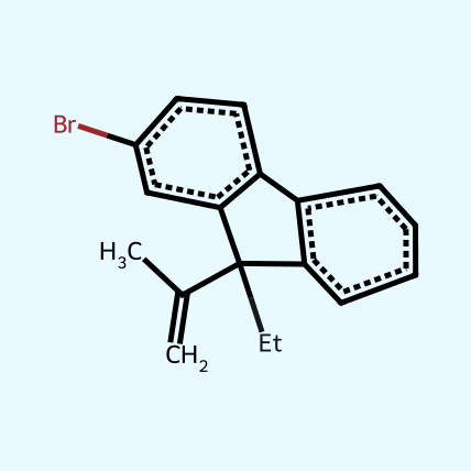 C=C(C)C1(CC)c2ccccc2-c2ccc(Br)cc21